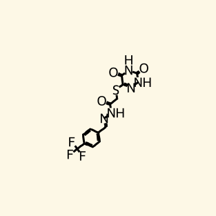 O=C(CSc1n[nH]c(=O)[nH]c1=O)N/N=C/c1ccc(C(F)(F)F)cc1